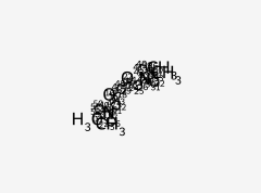 CC1(C)c2ccccc2N(c2cccc(C(=O)c3ccc(C(=O)c4cccc(N5c6ccccc6C(C)(C)c6ccccc65)c4)cc3)c2)c2ccccc21